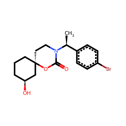 C[C@@H](c1ccc(Br)cc1)N1CC[C@]2(CCC[C@H](O)C2)OC1=O